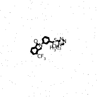 C[C@H](Sc1nncn1C)c1cccc(N2Cc3c(cccc3C(F)(F)F)C2=O)c1